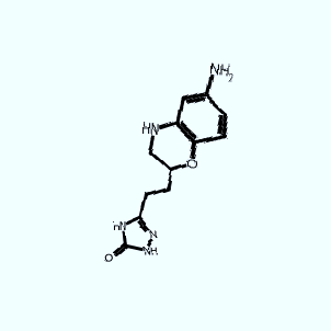 Nc1ccc2c(c1)NC[C@H](CCc1n[nH]c(=O)[nH]1)O2